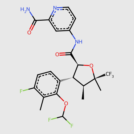 Cc1c(F)ccc([C@@H]2[C@@H](C(=O)Nc3ccnc(C(N)=O)c3)O[C@@](C)(C(F)(F)F)[C@H]2C)c1OC(F)F